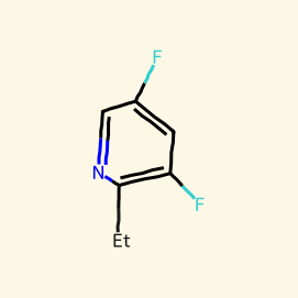 CCc1ncc(F)cc1F